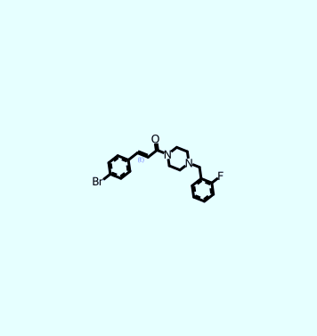 O=C(/C=C/c1ccc(Br)cc1)N1CCN(Cc2ccccc2F)CC1